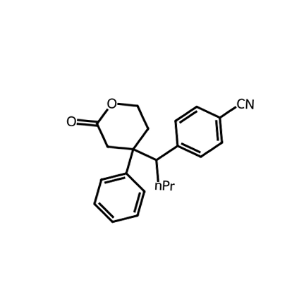 CCCC(c1ccc(C#N)cc1)C1(c2ccccc2)CCOC(=O)C1